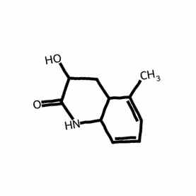 CC1=CC=CC2NC(=O)C(O)CC12